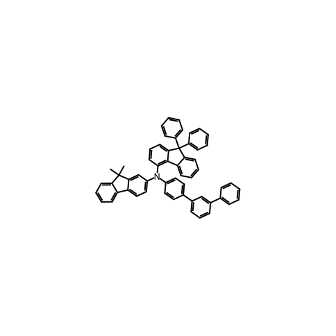 CC1(C)c2ccccc2-c2ccc(N(c3ccc(-c4cccc(-c5ccccc5)c4)cc3)c3cccc4c3-c3ccccc3C4(c3ccccc3)c3ccccc3)cc21